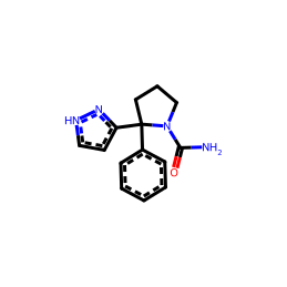 NC(=O)N1CCCC1(c1ccccc1)c1cc[nH]n1